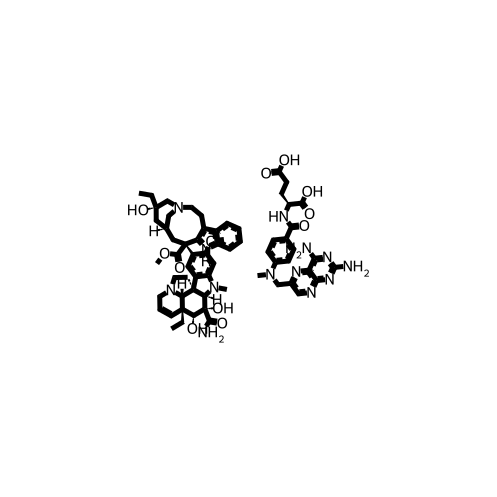 CC[C@]1(O)C[C@H]2CN(CCc3c([nH]c4ccccc34)[C@@](C(=O)OC)(c3cc4c(cc3OC)N(C)[C@H]3[C@@](O)(C(N)=O)[C@H](O)[C@]5(CC)C=CCN6CC[C@]43[C@@H]65)C2)C1.CN(Cc1cnc2nc(N)nc(N)c2n1)c1ccc(C(=O)N[C@@H](CCC(=O)O)C(=O)O)cc1